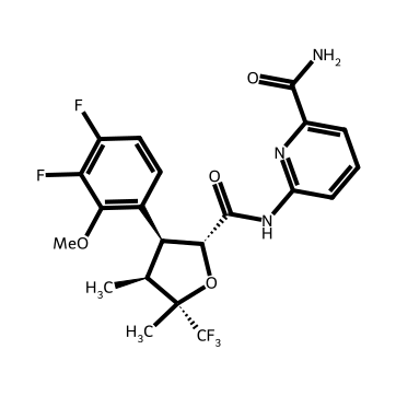 COc1c([C@H]2[C@H](C(=O)Nc3cccc(C(N)=O)n3)O[C@](C)(C(F)(F)F)[C@H]2C)ccc(F)c1F